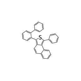 c1ccc(-c2ccccc2-c2sc(-c3ccccc3)c3c2ccc2ccccc23)cc1